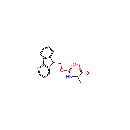 CC(NC(=O)OCC1c2ccccc2-c2ccccc21)C(O)=[17O]